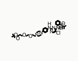 CC(C)S(=O)(=O)c1ccccc1Nc1nc(Nc2ccc(N3CCN(CCOCCOCCC(=O)OC(C)(C)C)CC3)cc2)ncc1Cl